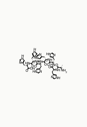 C[C@H](N)C(=O)N[C@@H](Cc1c[nH]cn1)C(=O)N[C@@H](Cc1c[nH]cn1)C(=O)N[C@@H](Cc1c[nH]cn1)C(=O)N[C@@H](Cc1c[nH]cn1)C(=O)N[C@@H](Cc1c[nH]cn1)C(=O)N[C@@H](Cc1c[nH]cn1)C(=O)O